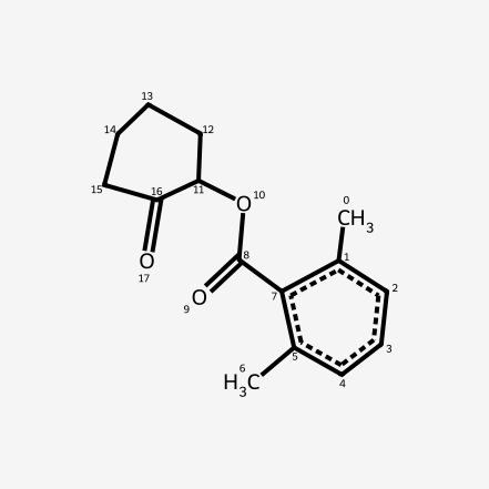 Cc1cccc(C)c1C(=O)OC1CCCCC1=O